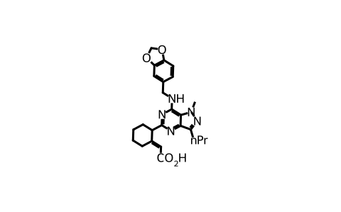 CCCc1nn(C)c2c(NCc3ccc4c(c3)OCO4)nc(C3CCCCC3=CC(=O)O)nc12